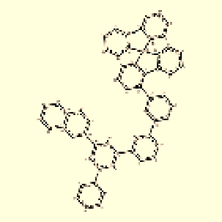 c1ccc(-c2nc(-c3cccc(-c4cccc(-c5cccc6c5-c5ccccc5C65c6ccccc6-c6ccccc65)c4)c3)nc(-c3ccc4ccccc4c3)n2)cc1